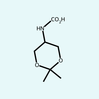 CC1(C)OCC(NC(=O)O)CO1